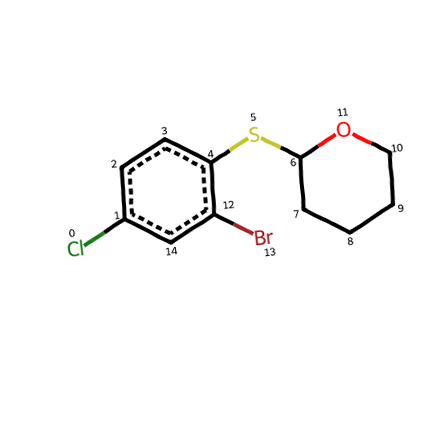 Clc1ccc(SC2CCCCO2)c(Br)c1